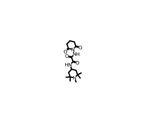 CN1C(C)(C)CC(NC(=O)C(=O)NN2C(=O)CCCC2=O)CC1(C)C